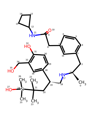 C[C@H](Cc1cccc(CC(=O)NC2CCC2)c1)NC[C@H](CC(C)(C)[Si](C)(C)O)c1ccc(O)c(CO)c1